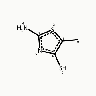 Cc1sc(N)nc1S